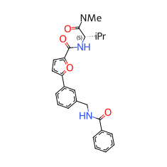 CNC(=O)[C@@H](NC(=O)c1ccc(-c2cccc(CNC(=O)c3ccccc3)c2)o1)C(C)C